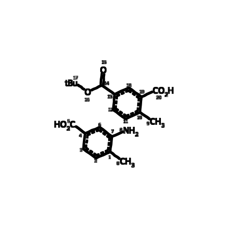 Cc1ccc(C(=O)O)cc1N.Cc1ccc(C(=O)OC(C)(C)C)cc1C(=O)O